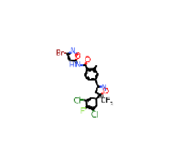 Cc1cc(C2=NO[C@@](C3C=C(Cl)C(F)=C(Cl)C3)(C(F)(F)F)C2)ccc1C(=O)N[C@H]1CC(Br)=NO1